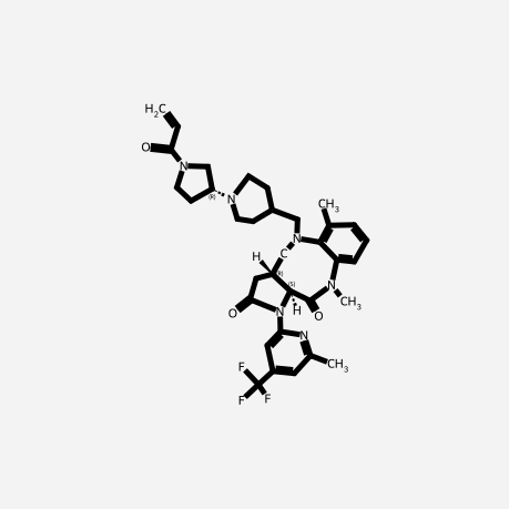 C=CC(=O)N1CC[C@@H](N2CCC(CN3C[C@H]4CC(=O)N(c5cc(C(F)(F)F)cc(C)n5)[C@@H]4C(=O)N(C)c4cccc(C)c43)CC2)C1